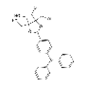 OCC1(CO)OB(c2ccc(B(c3ccccc3)c3ccccc3)cc2)OC1(CO)CO